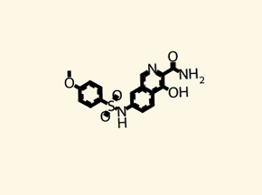 COc1ccc(S(=O)(=O)Nc2ccc3c(O)c(C(N)=O)ncc3c2)cc1